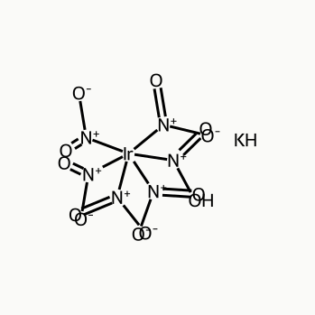 O=[N+]([O-])[Ir]([N+](=O)[O-])([N+](=O)[O-])([N+](=O)[O-])([N+](=O)[O-])[N+](=O)O.[KH]